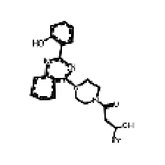 CC(C)C(O)CC(=O)N1CCN(c2nc(-c3ccccc3O)nc3ccccc23)CC1